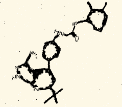 Cc1cccc(NC(=O)Nc2ccc(-c3cc(C(C)(C)C)nc4[nH]nc(N)c34)cc2)c1C